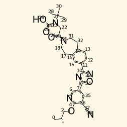 CCCOc1ncc(-c2nc(-c3ccc4c(c3)CCN(C(=O)CN(C(=O)O)C(C)(C)C)CC4)no2)cc1C#N